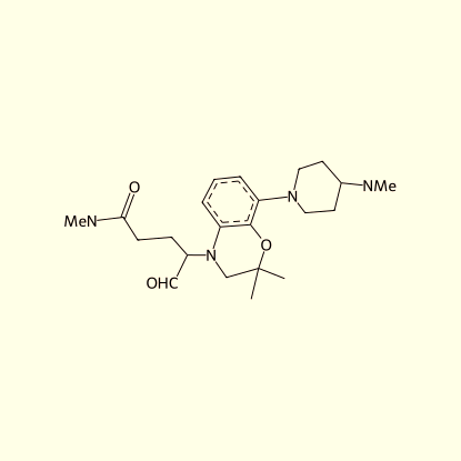 CNC(=O)CCC(C=O)N1CC(C)(C)Oc2c(N3CCC(NC)CC3)cccc21